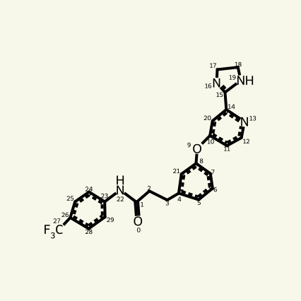 O=C(CCc1cccc(Oc2ccnc(C3=NCCN3)c2)c1)Nc1ccc(C(F)(F)F)cc1